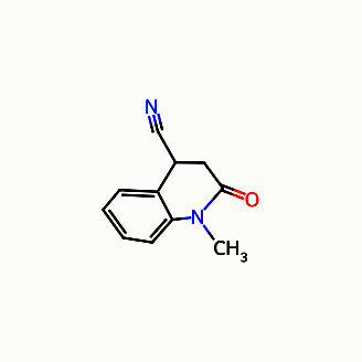 CN1C(=O)CC(C#N)c2ccccc21